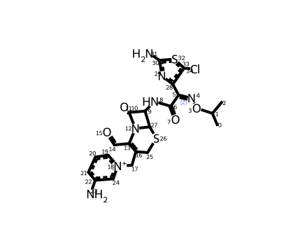 CC(C)O/N=C(\C(=O)NC1C(=O)N2C(C=O)=C(C[n+]3cccc(N)c3)CSC12)c1nc(N)sc1Cl